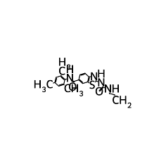 C=CCNC(=O)Nc1nc2ccc(C(=O)Nc3c(C)cc(C)cc3C)cc2s1